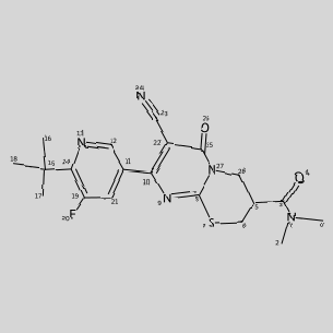 CN(C)C(=O)C1CSc2nc(-c3cnc(C(C)(C)C)c(F)c3)c(C#N)c(=O)n2C1